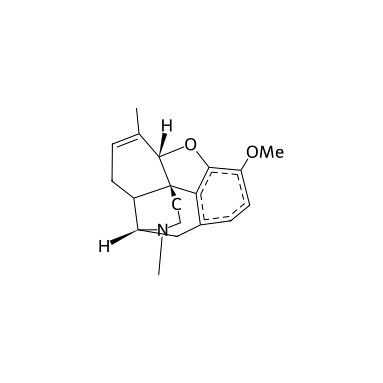 COc1ccc2c3c1O[C@H]1C(C)=CCC4[C@@H](C2)N(C)CC[C@@]341